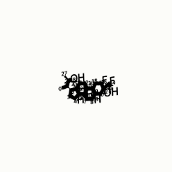 CC([C@H]1CC[C@H]2[C@@H]3CC[C@@H]4C[C@@](O)(C(F)(F)F)CC[C@]4(C)[C@H]3CC[C@]12C)[C@@H](C)O